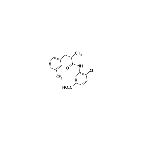 CC(Cc1cccc(C(F)(F)F)c1)C(=O)Nc1cc(C(=O)O)ccc1Cl